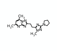 Cc1cc(C)n2nc(CCc3nc(N4CCCC4)nn3C)nc2n1